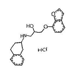 Cl.OC(CNC1CCc2ccccc2C1)COc1cccc2ccoc12